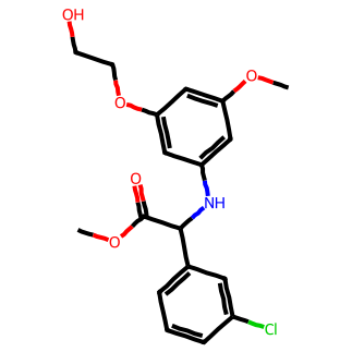 COC(=O)C(Nc1cc(OC)cc(OCCO)c1)c1cccc(Cl)c1